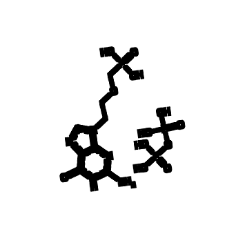 Nc1nc2c(ncn2CCOCP(=O)(O)O)c(=O)[nH]1.O=P(O)(O)OP(=O)(O)O